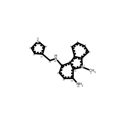 Cn1c2ccccc2c2c(NCc3ccsc3)ccc(N)c21